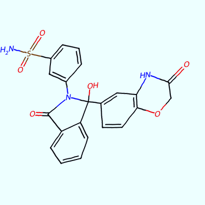 NS(=O)(=O)c1cccc(N2C(=O)c3ccccc3C2(O)c2ccc3c(c2)NC(=O)CO3)c1